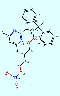 Cc1cc(C)nc(C[C@H](C(=O)OCCCCON(O)O)C(C)(c2ccccc2)c2ccccc2)n1